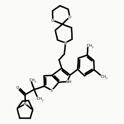 Cc1cc(C)cc(-c2[nH]c3sc(C(C)(C)C(=O)N4C5CCC4CC5)cc3c2CCN2CCC3(CC2)OCCCO3)c1